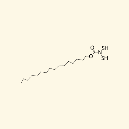 CCCCCCCCCCCCCCCCOC(=O)N(S)S